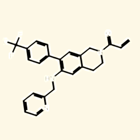 C=CC(=O)N1CCc2cc(NCc3ccccn3)c(-c3ccc(C(F)(F)F)cc3)cc2C1